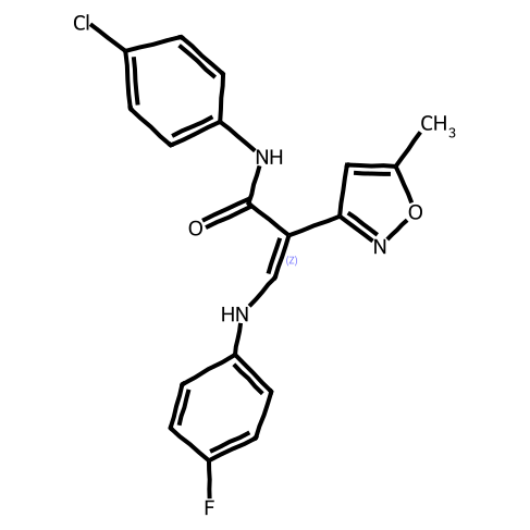 Cc1cc(/C(=C/Nc2ccc(F)cc2)C(=O)Nc2ccc(Cl)cc2)no1